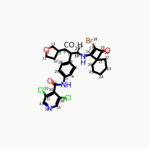 O=C(Nc1ccc(C(CC2CCOC2)[C@H](NC2=C(Br)C(=O)C23CCCCC3)C(=O)O)cc1)c1c(Cl)cncc1Cl